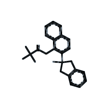 CC(C)(C)NCc1c(C2(C)Cc3ccccc3C2)ccc2ccccc12